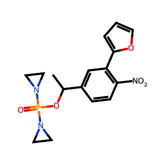 CC(OP(=O)(N1CC1)N1CC1)c1ccc([N+](=O)[O-])c(-c2ccco2)c1